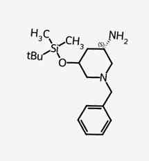 CC(C)(C)[Si](C)(C)OC1C[C@H](N)CN(Cc2ccccc2)C1